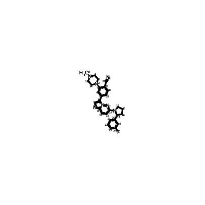 CN1CCN(c2cc(-c3cnc4ccc(N5CCCC5c5cccc(F)c5)nn34)ccc2C#N)CC1